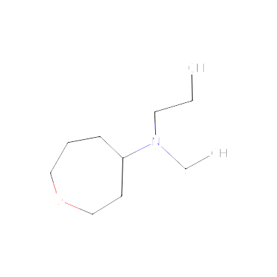 CCCN(CC)C1CCCOCC1